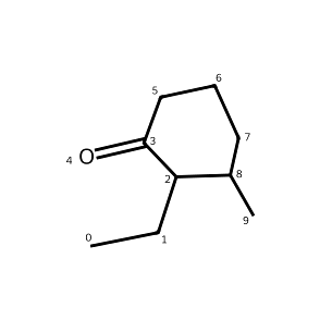 CCC1C(=O)CCCC1C